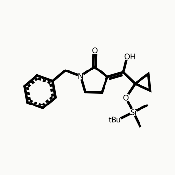 CC(C)(C)[Si](C)(C)OC1(C(O)=C2CCN(Cc3ccccc3)C2=O)CC1